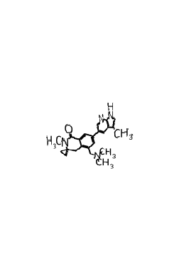 Cc1c[nH]c2ncc(-c3cc(CN(C)C)c4c(c3)C(=O)N(C)C3(CC3)C4)cc12